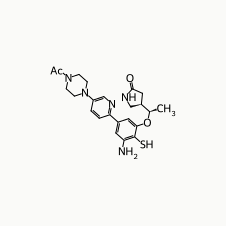 CC(=O)N1CCN(c2ccc(-c3cc(N)c(S)c(O[C@H](C)[C@H]4CNC(=O)C4)c3)nc2)CC1